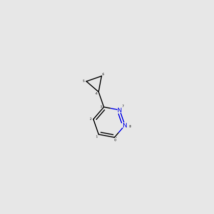 [c]1ccc(C2CC2)nn1